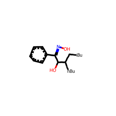 CCCCC(CC(C)CC)C(O)C(=NO)c1ccccc1